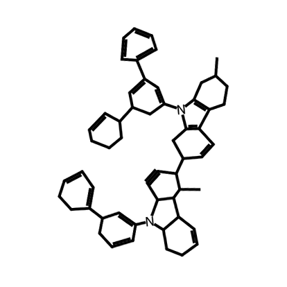 CC1CCc2c3c(n(C4=CC(c5ccccc5)=CC(C5C=CCCC5)C4)c2C1)CC(C1C#CC2C(C1C)C1C=CCCC1N2C1=CC(C2=CC=CCC2)CC=C1)C=C3